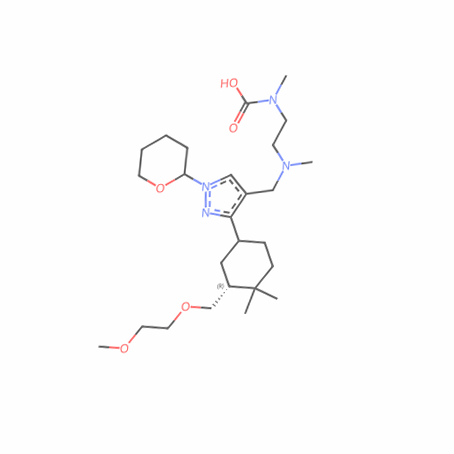 COCCOC[C@@H]1CC(c2nn(C3CCCCO3)cc2CN(C)CCN(C)C(=O)O)CCC1(C)C